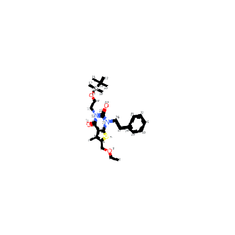 CCOCc1sc2c(c1C)c(=O)n(CCO[Si](C)(C)C(C)(C)C)c(=O)n2CCc1ccccc1